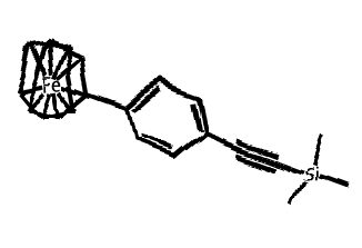 C[Si](C)(C)C#Cc1ccc([C]23[CH]4[CH]5[CH]6[CH]2[Fe]56432789[CH]3[CH]2[CH]7[CH]8[CH]39)cc1